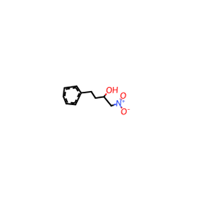 O=[N+]([O-])CC(O)CCc1ccccc1